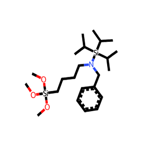 CO[Si](CCCCN(Cc1ccccc1)[Si](C(C)C)(C(C)C)C(C)C)(OC)OC